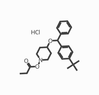 CCC(=O)ON1CCC(OC(c2ccccc2)c2ccc(C(C)(C)C)cc2)CC1.Cl